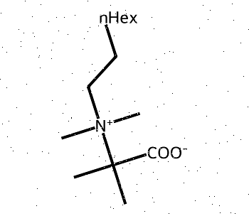 CCCCCCCC[N+](C)(C)C(C)(C)C(=O)[O-]